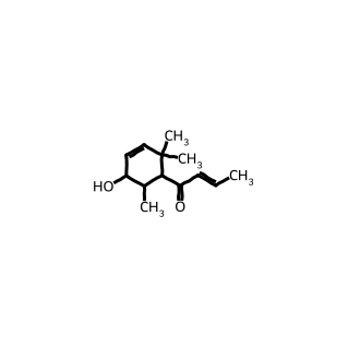 C/C=C/C(=O)C1C(C)C(O)C=CC1(C)C